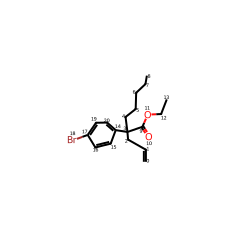 C=CCC(CCCCC)(C(=O)OCC)c1ccc(Br)cc1